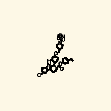 C=Cc1ccc(OC(=O)N2CCc3c([nH]c4ccc(Cl)cc34)C2c2ccc(OCC3CCN(C(=O)OC(C)(C)C)CC3)cc2)cc1